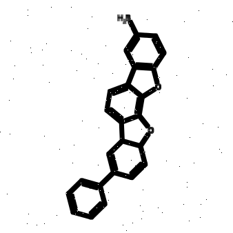 Bc1ccc2oc3c4c(ccc3c2c1)C1C=C(c2ccccc2)C=CC1O4